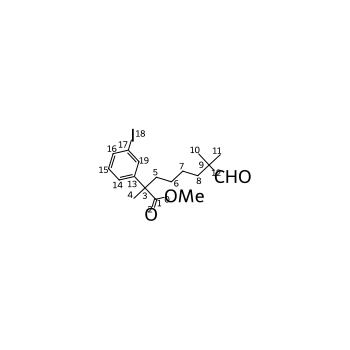 COC(=O)C(C)(CCCCC(C)(C)C=O)c1cccc(I)c1